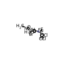 C=CCNC(=O)CNC(=O)c1ccc(/C=C/C(c2cc(Cl)c(Cl)c(Cl)c2)C(F)(F)F)cc1Br